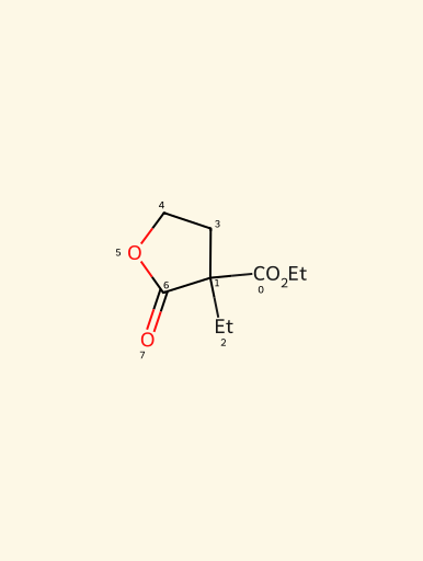 CCOC(=O)C1(CC)CCOC1=O